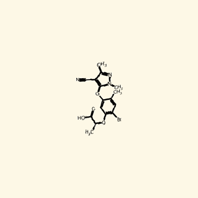 Cc1cc(Br)c(O[C@@H](C)C(=O)O)cc1Oc1c(C#N)c(C)nn1C